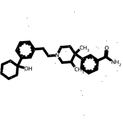 CC1CN(CCc2cccc(C3(O)CCCCC3)c2)CCC1(C)c1cccc(C(N)=O)c1